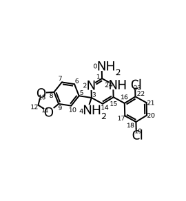 NC1=NC(N)(c2ccc3c(c2)OCO3)C=C(c2cc(Cl)ccc2Cl)N1